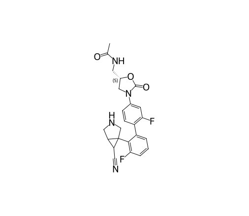 CC(=O)NC[C@H]1CN(c2ccc(-c3cccc(F)c3C34CNCC3C4C#N)c(F)c2)C(=O)O1